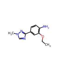 CCOc1cc(-c2ncn(C)n2)ccc1N